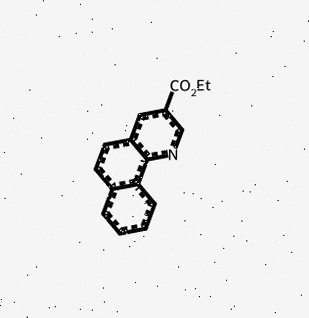 CCOC(=O)c1cnc2c(ccc3ccccc32)c1